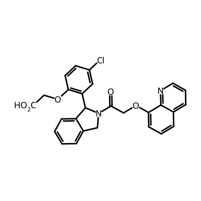 O=C(O)COc1ccc(Cl)cc1C1c2ccccc2CN1C(=O)COc1cccc2cccnc12